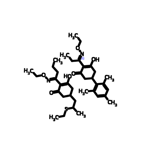 CCCC(=NOCC)C1=C(O)CC(CC(C)SCC)CC1=O.CCO/N=C(\CC)C1=C(O)CC(c2c(C)cc(C)cc2C)CC1=O